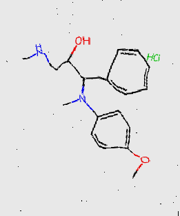 CNCC(O)C(c1ccccc1)N(C)c1ccc(OC)cc1.Cl